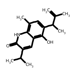 C=C(C)C(C)c1cc(C)c2[nH]c(=O)c(C(C)C)cc2c1O